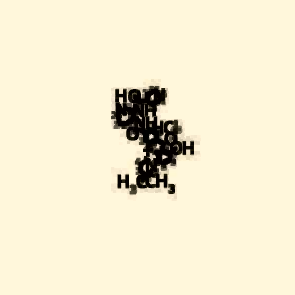 CC1(C)CCCN(c2ccc(O)c(C(=O)c3ccc(C(=O)N[C@@H]4CCCNC[C@H]4NC(=O)c4ccncc4)cc3)c2F)C1.Cl